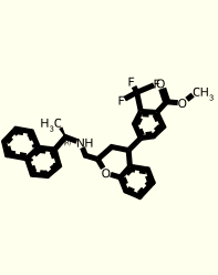 COC(=O)c1ccc(C2CC(CN[C@H](C)c3cccc4ccccc34)Oc3ccccc32)cc1C(F)(F)F